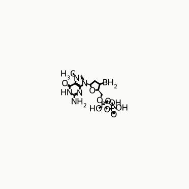 BC1C[C@H](n2c[n+](C)c3c(=O)[nH]c(N)nc32)O[C@@H]1COP(=O)(O)OP(=O)(O)O